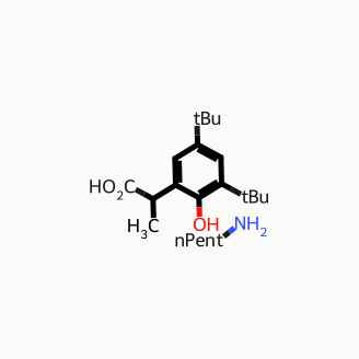 CC(C(=O)O)c1cc(C(C)(C)C)cc(C(C)(C)C)c1O.CCCCCN